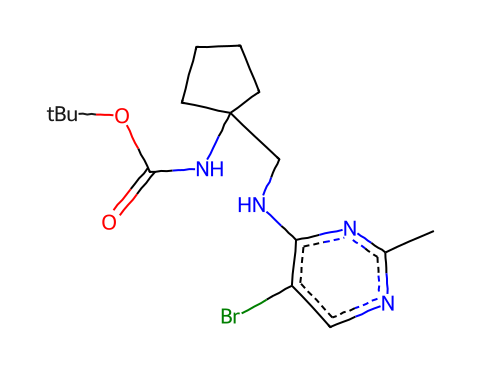 Cc1ncc(Br)c(NCC2(NC(=O)OC(C)(C)C)CCCC2)n1